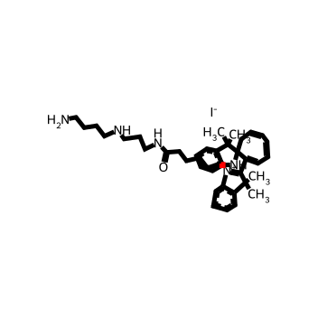 CC1(C)C(/C2=C/C=C\C=C/CC23Nc2ccccc2C3(C)C)=[N+](CCCCCC(=O)NCCCNCCCCN)c2ccccc21.[I-]